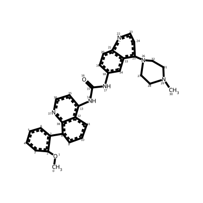 COc1ccccc1-c1cccc2c(NC(=O)Nc3ccc4nccc(N5CCN(C)CC5)c4c3)ccnc12